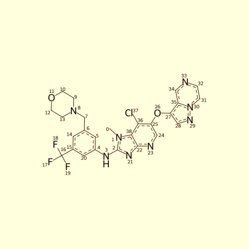 Cn1c(Nc2cc(CN3CCOCC3)cc(C(F)(F)F)c2)nc2ncc(Oc3cnn4ccncc34)c(Cl)c21